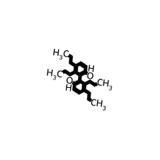 CCCc1ccc(O)c(-c2c(O)ccc(CCC)c2CCC)c1CCC